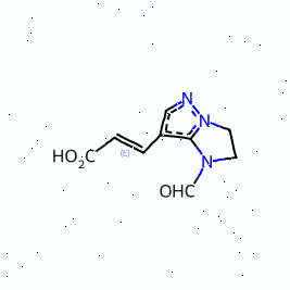 O=CN1CCn2ncc(/C=C/C(=O)O)c21